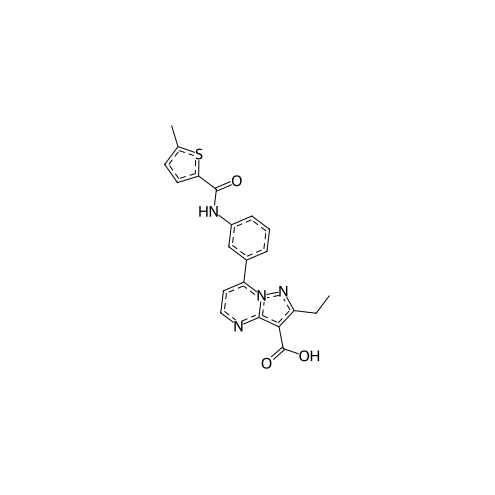 CCc1nn2c(-c3cccc(NC(=O)c4ccc(C)s4)c3)ccnc2c1C(=O)O